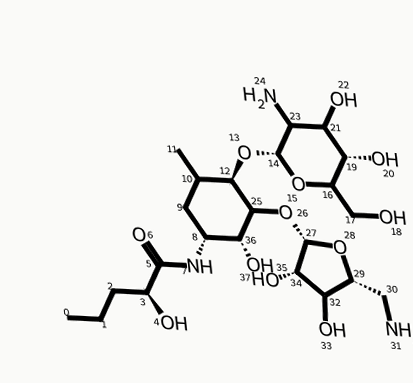 CCC[C@H](O)C(=O)N[C@@H]1CC(C)[C@@H](O[C@H]2OC(CO)[C@@H](O)C(O)C2N)C(O[C@@H]2O[C@H](CN)C(O)[C@@H]2O)[C@@H]1O